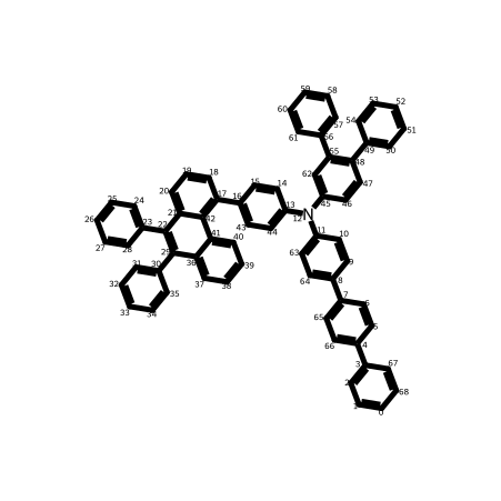 c1ccc(-c2ccc(-c3ccc(N(c4ccc(-c5cccc6c(-c7ccccc7)c(-c7ccccc7)c7ccccc7c56)cc4)c4ccc(-c5ccccc5)c(-c5ccccc5)c4)cc3)cc2)cc1